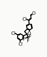 O=CC=C(Cl)c1ccc2c(c1)CC(c1cc(Cl)cc(Cl)c1)(C(F)(F)F)O2